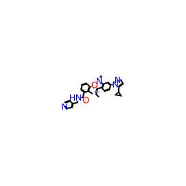 C=Nc1cc(-n2nccc2C2CC2)ccc1/C(=C\C)Oc1cccc(C(=O)NCc2ccncc2)c1C